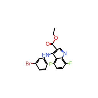 CCOC(=O)c1cnc2c(F)ccc(F)c2c1Nc1cccc(Br)c1